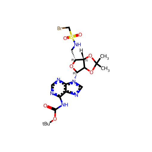 CC(C)(C)OC(=O)Nc1ncnc2c1ncn2[C@@H]1O[C@H](CNS(=O)(=O)CBr)[C@@H]2OC(C)(C)OC21